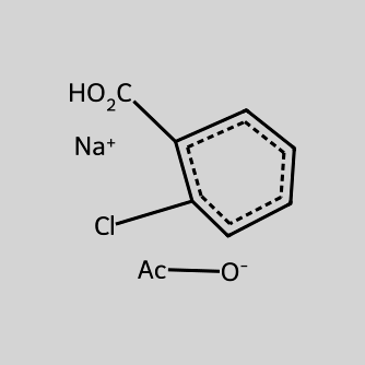 CC(=O)[O-].O=C(O)c1ccccc1Cl.[Na+]